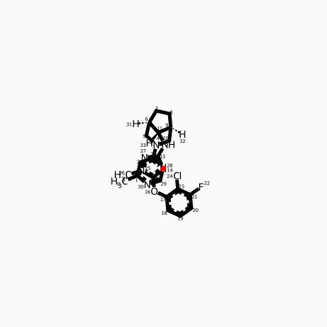 Cc1cc(N2C[C@H]3CC[C@@H](C2)[C@@H]3Nc2nc(Oc3cccc(F)c3Cl)n(C)n2)ncn1